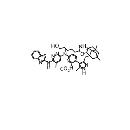 Cc1cc(N(C)c2ccc(-c3c(CC45CC6(C)CC(CC(C)(C6)C4)C5OC(N)CCCCCO)n[nH]c3C)c(C(=O)O)n2)nnc1Nc1nc2ccccc2s1